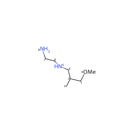 COCC(C)CNCCN